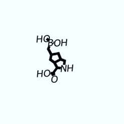 O=C(O)C1NCC2CC(CB(O)O)CC21